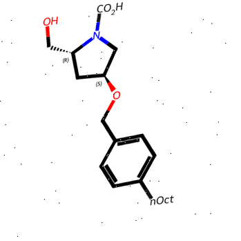 CCCCCCCCc1ccc(CO[C@H]2C[C@H](CO)N(C(=O)O)C2)cc1